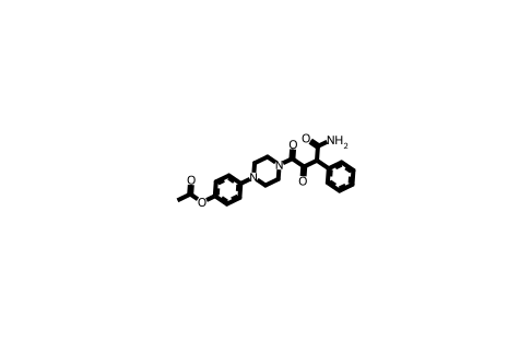 CC(=O)Oc1ccc(N2CCN(C(=O)C(=O)C(C(N)=O)c3ccccc3)CC2)cc1